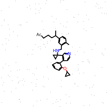 CC(=O)CCCC(C)c1ccc(C)c(CNC2(c3cnccc3-c3ccccc3OC3CC3)CC2)c1